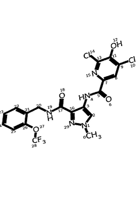 Cn1cc(NC(=O)c2cc(Cl)c(O)c(Cl)n2)c(C(=O)NCc2ccccc2OC(F)(F)F)n1